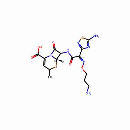 CC1C=C(C(=O)O)N2C(=O)C(NC(=O)/C(=N\OCCCN)c3nsc(N)n3)[C@@H]2S1